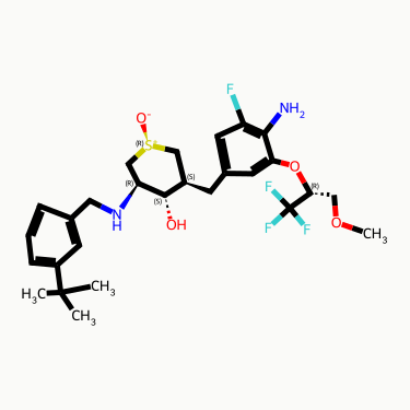 COC[C@@H](Oc1cc(C[C@@H]2C[S@+]([O-])C[C@H](NCc3cccc(C(C)(C)C)c3)[C@H]2O)cc(F)c1N)C(F)(F)F